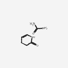 NC(N)=O.O=C1CCC=CN1